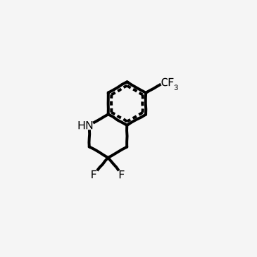 FC1(F)CNc2ccc(C(F)(F)F)cc2C1